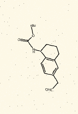 CC(C)(C)OC(=O)NC1CCCc2cc(CC=O)ccc21